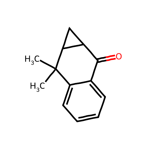 CC1(C)c2ccccc2C(=O)C2CC21